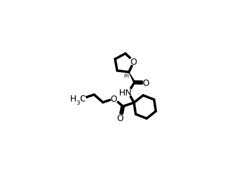 CCCOC(=O)C1(NC(=O)[C@H]2CCCO2)CCCCC1